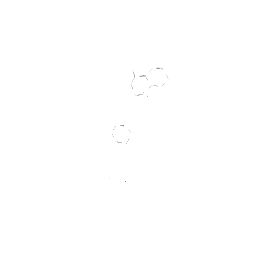 Cc1c(COc2cccc(OCCC(C)(C)O)c2)[nH]c2ccccc2c1=O